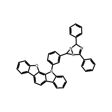 c1ccc(C2=NC(c3ccccc3)N3C(c4cccc(-n5c6ccccc6c6ccc7c8ccccc8oc7c65)c4)N23)cc1